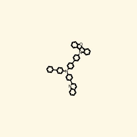 c1ccc(-c2ccc(N(c3ccc(-c4ccc(-n5c6ccccc6c6oc7ccccc7c65)cc4)cc3)c3ccc(-c4ccc5ccccc5n4)cc3)cc2)cc1